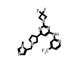 Cn1cncc1CN1CCC(c2cc(Nc3cc(C(F)(F)F)ccn3)nc(N3CC(F)(F)C3)n2)C1